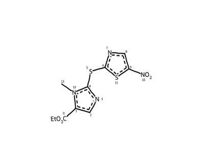 CCOC(=O)c1cnc(Sc2ncc([N+](=O)[O-])s2)n1C